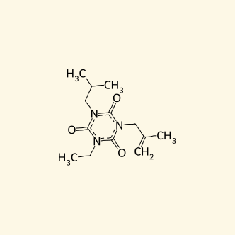 C=C(C)Cn1c(=O)n(CC)c(=O)n(CC(C)C)c1=O